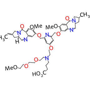 C/C=C1\C[C@H]2C=Nc3cc(OCc4cc(OCCN(CCCC(=O)O)CCOCCOCCOC)cc(COc5cc6c(cc5OC)C(=O)N5CC(C)CC5C=N6)n4)c(OC)cc3C(=O)N2C1